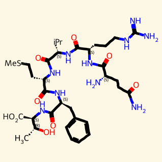 CSCC[C@H](NC(=O)[C@@H](NC(=O)[C@H](CCCNC(=N)N)NC(=O)[C@@H](N)CCC(N)=O)C(C)C)C(=O)N[C@@H](Cc1ccccc1)C(=O)N[C@H](C(=O)O)[C@@H](C)O